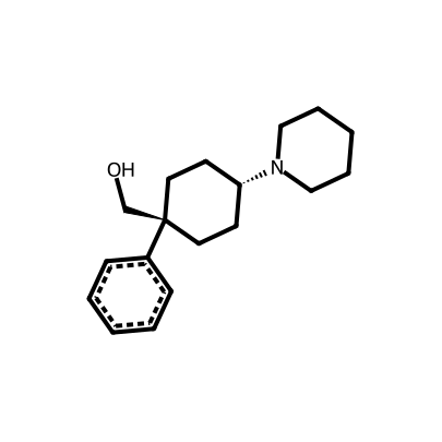 OC[C@]1(c2ccccc2)CC[C@@H](N2CCCCC2)CC1